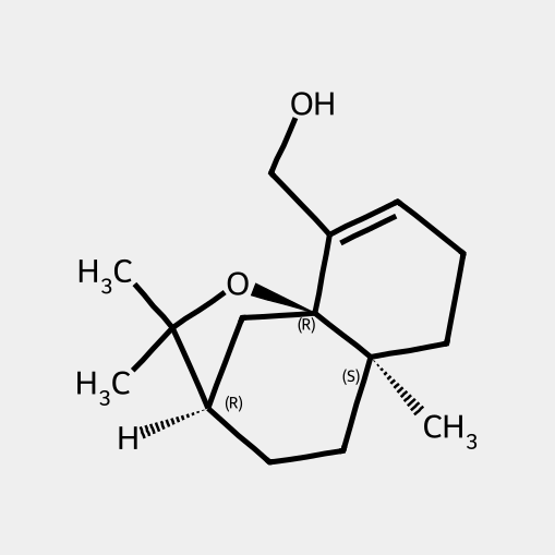 CC1(C)O[C@]23C[C@H]1CC[C@]2(C)CCC=C3CO